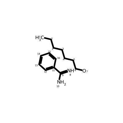 CCCCCCC[O].N=C(N)c1ccccc1